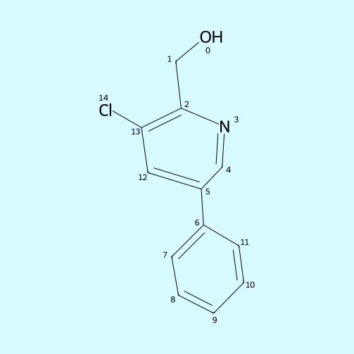 OCc1ncc(-c2ccccc2)cc1Cl